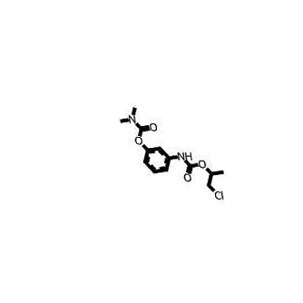 CC(CCl)OC(=O)Nc1cccc(OC(=O)N(C)C)c1